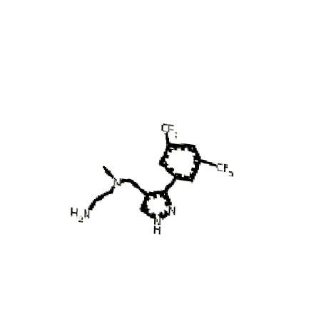 CN(CCN)Cc1c[nH]nc1-c1cc(C(F)(F)F)cc(C(F)(F)F)c1